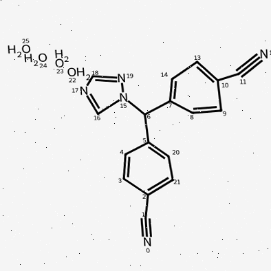 N#Cc1ccc(C(c2ccc(C#N)cc2)n2cncn2)cc1.O.O.O.O